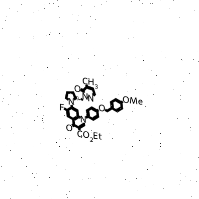 CCOC(=O)c1cn(-c2ccc(OCc3ccc(OC)cc3)cc2)c2cc(N3CCC[C@@H]3Cn3nccc(C)c3=O)c(F)cc2c1=O